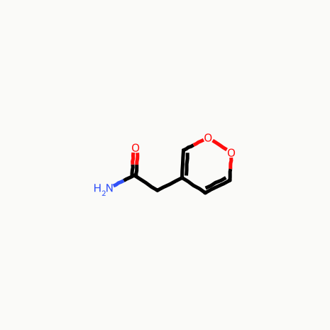 NC(=O)CC1=COOC=C1